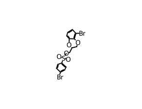 O=S(=O)(OCC1COc2c(Br)cccc2O1)c1ccc(Br)cc1